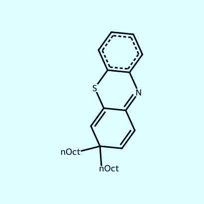 CCCCCCCCC1(CCCCCCCC)C=CC2=Nc3ccccc3SC2=C1